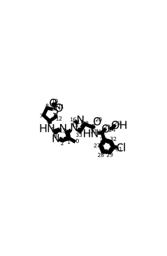 Cc1cnc(NC2CCS(=O)(=O)C2)nc1-n1cnc(C(=O)NC(OCO)c2cccc(Cl)c2)c1